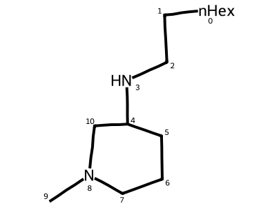 CCCCCCCCNC1CCCN(C)C1